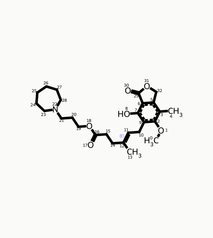 COc1c(C)c2c(c(O)c1C/C=C(\C)CCC(=O)OCCCN1CCCCCC1)C(=O)OC2